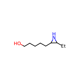 CCC1NC1CCCCCO